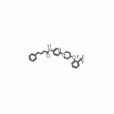 O=C(CCCc1ccccc1)Nc1ccc(N2CCC(Oc3ccccc3C(F)(F)F)CC2)nc1